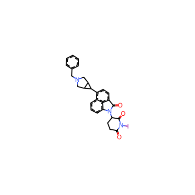 O=C1CCC(N2C(=O)c3ccc(C4C5CN(Cc6ccccc6)CC54)c4cccc2c34)C(=O)N1I